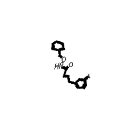 O=C(CCCc1cccc(I)c1)NOCc1ccccc1